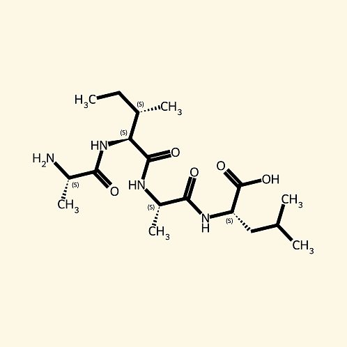 CC[C@H](C)[C@H](NC(=O)[C@H](C)N)C(=O)N[C@@H](C)C(=O)N[C@@H](CC(C)C)C(=O)O